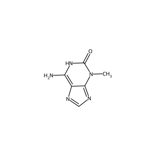 Cn1c2ncnc-2c(N)[nH]c1=O